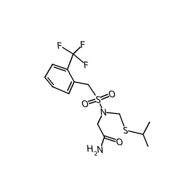 CC(C)SCN(CC(N)=O)S(=O)(=O)Cc1ccccc1C(F)(F)F